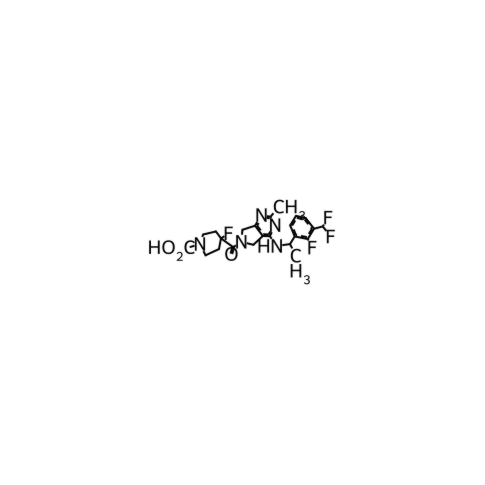 Cc1nc2c(c(NC(C)c3cccc(C(F)F)c3F)n1)CN(C(=O)C1(F)CCN(C(=O)O)CC1)C2